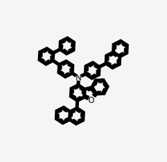 c1ccc(-c2ccccc2-c2ccc(N(c3ccc(-c4ccc5ccccc5c4)cc3)c3ccc(-c4cccc5ccccc45)c4oc5ccccc5c34)cc2)cc1